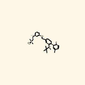 Cc1ccc(F)c(-c2ccc(COc3cccc([C@@H](C)CP(C)(C)=O)c3)cc2[C@@H](C)C(C)(C)C)c1